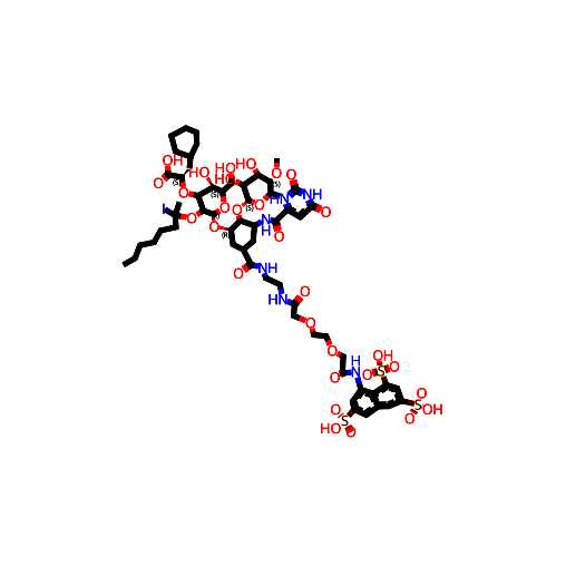 CCCCCCC(C)(I)OC1C(O[C@@H](CC2CCCCC2)C(=O)O)[C@@H](O)C(CO)O[C@H]1O[C@@H]1CC(C(=O)NCCNC(=O)COCCOCC(=O)Nc2cc(S(=O)(=O)O)cc3cc(S(=O)(=O)O)cc(S(=O)(=O)O)c23)CC(NC(=O)c2cc(=O)[nH]c(=O)[nH]2)C1O[C@@H]1OC(C)[C@@H](OC)C(O)C1O